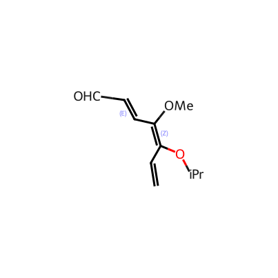 C=C/C(OC(C)C)=C(\C=C\C=O)OC